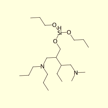 CCCO[SiH](OCCC)OCC(CN(CCC)CCC)C(CC)CN(C)C